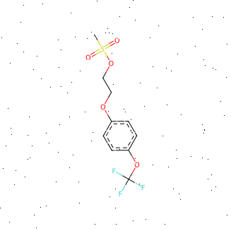 CS(=O)(=O)OCCOc1ccc(OC(F)(F)F)cc1